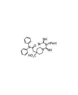 CCCCCN(C(=N)Br)C(=N)N1CCC(CC(=O)N(c2ccccc2)c2ccccc2)(C(=O)O)CC1